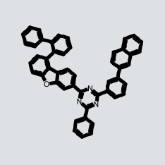 c1ccc(-c2nc(-c3cccc(-c4ccc5ccccc5c4)c3)nc(-c3ccc4c(c3)oc3cccc(-c5ccccc5-c5ccccc5)c34)n2)cc1